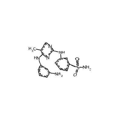 Cc1cnc(Nc2cccc(S(N)(=O)=O)c2)nc1Nc1cccc(N)c1